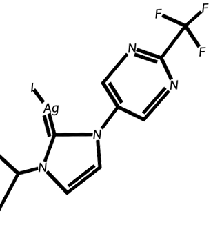 CC(C)n1ccn(-c2cnc(C(F)(F)F)nc2)[c]1=[Ag][I]